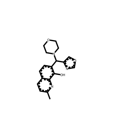 Cc1ccc2ccc(C(c3cscn3)N3CCOCC3)c(O)c2n1